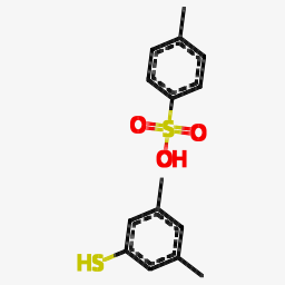 Cc1cc(C)cc(S)c1.Cc1ccc(S(=O)(=O)O)cc1